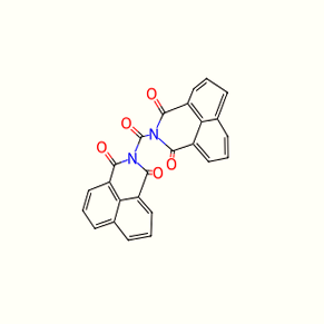 O=C1c2cccc3cccc(c23)C(=O)N1C(=O)N1C(=O)c2cccc3cccc(c23)C1=O